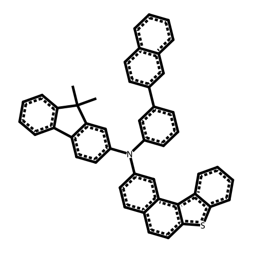 CC1(C)c2ccccc2-c2ccc(N(c3cccc(-c4ccc5ccccc5c4)c3)c3ccc4ccc5sc6ccccc6c5c4c3)cc21